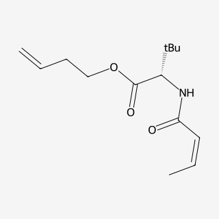 C=CCCOC(=O)[C@@H](NC(=O)/C=C\C)C(C)(C)C